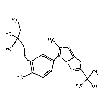 CCC(C)(O)CSc1cc(-c2c(C)nc3sc(C(C)(C)O)nn23)ccc1C